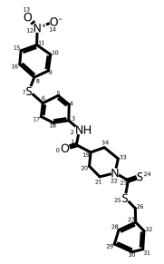 O=C(Nc1ccc(Sc2ccc([N+](=O)[O-])cc2)cc1)C1CCN(C(=S)SCc2ccccc2)CC1